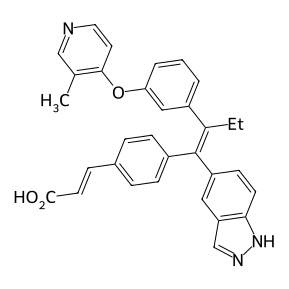 CC/C(=C(/c1ccc(/C=C/C(=O)O)cc1)c1ccc2[nH]ncc2c1)c1cccc(Oc2ccncc2C)c1